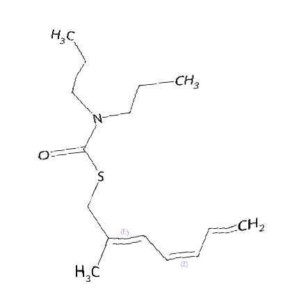 C=C/C=C\C=C(/C)CSC(=O)N(CCC)CCC